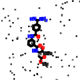 COC(=O)[C@H](CC(=O)OC(C)(C)C)NC(=O)c1cccc(NC(=O)c2ccc(C(=N)N)cc2)c1